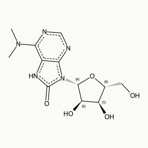 CN(C)c1ncnc2c1[nH]c(=O)n2[C@@H]1O[C@H](CO)[C@@H](O)[C@H]1O